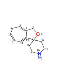 C1=CCC=C2COC3(CCNCC3)C2=C1